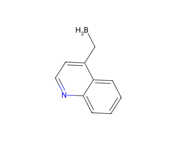 BCc1ccnc2ccccc12